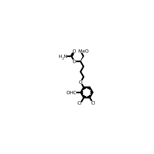 COC[C@@H](CCCOc1ccc(Cl)c(Cl)c1C=O)OC(N)=O